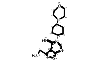 CCc1nsc2ncn([C@H]3CC[C@H](N4CCOCC4)CC3)c(=N)c12